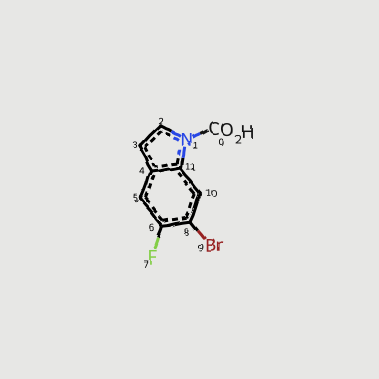 O=C(O)n1ccc2cc(F)c(Br)cc21